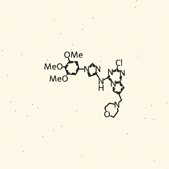 COc1cc(-n2cnc(Nc3nc(Cl)nc4cc(CN5CCOCC5)cn34)c2)cc(OC)c1OC